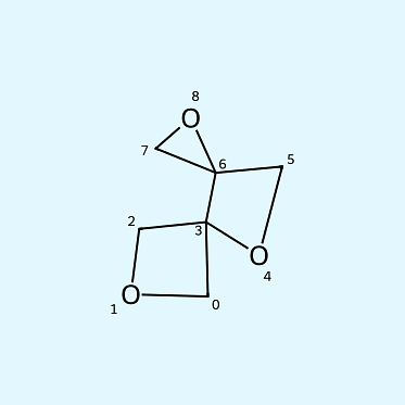 C1OCC12OCC21CO1